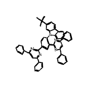 CC(C)(C)c1ccc2c3ccccc3n(-c3ccc(-c4nc(-c5ccccc5)cc(-c5ccccc5)n4)cc3-c3nc(-c4ccccc4)cc(-c4ccccc4)n3)c2c1